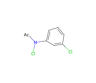 CC(=O)N(Cl)c1cccc(Cl)c1